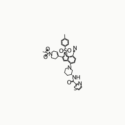 Cc1ccc(S(=O)(=O)n2c(C3=CCN(S(C)(=O)=O)CC3)cc3c(N4CCC[C@@H](NC(=O)c5nccs5)C4)ccc(C#N)c32)cc1